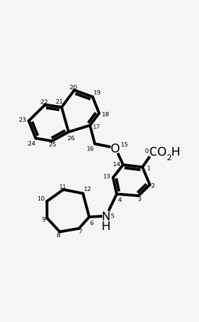 O=C(O)c1ccc(NC2CCCCCC2)cc1OCc1cccc2ccccc12